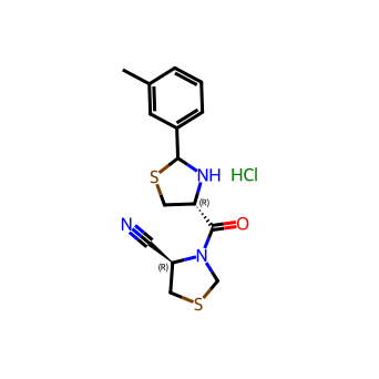 Cc1cccc(C2N[C@H](C(=O)N3CSC[C@H]3C#N)CS2)c1.Cl